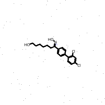 OCCCCCC/C(=N\O)c1ccc(-c2ccc(Cl)cc2Cl)cc1